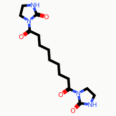 O=C(CCCCCCCC(=O)N1CCNC1=O)N1CCNC1=O